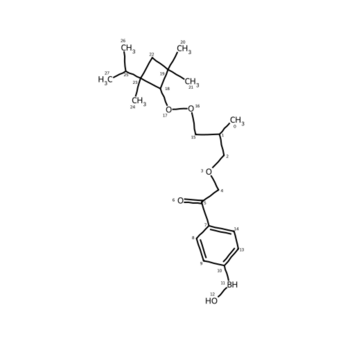 CC(COCC(=O)c1ccc(BO)cc1)COOC1C(C)(C)CC1(C)C(C)C